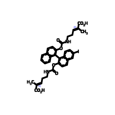 C/C(=C\CCNC(=O)Oc1ccc2ccccc2c1-c1c(OC(=O)NCC/C=C(\C)C(=O)O)ccc2cc(I)ccc12)C(=O)O